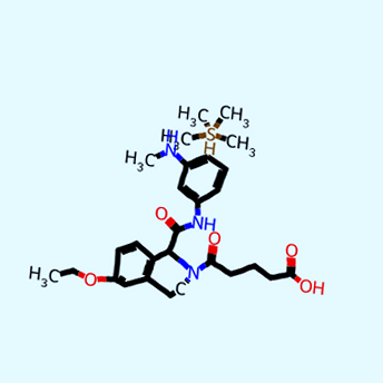 CCOc1ccc2c(c1)CCN(C(=O)CCCC(=O)O)C2C(=O)Nc1ccc([SH](C)(C)(C)C)c(NC)c1